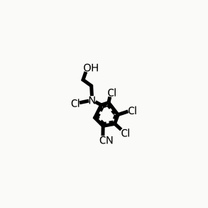 N#Cc1cc(N(Cl)CCO)c(Cl)c(Cl)c1Cl